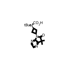 CC1(C)C(=O)N([C@H]2C[C@H](N(C(=O)O)C(C)(C)C)C2)c2nccnc21